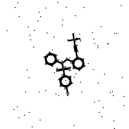 C[Si](C)(C)C#Cc1ccccc1CN(c1ccccc1)S(=O)(=O)c1ccc(Cl)cc1